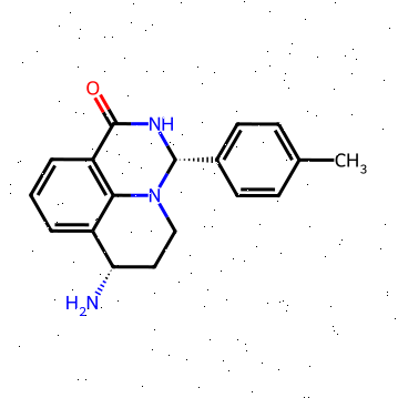 Cc1ccc([C@H]2NC(=O)c3cccc4c3N2CC[C@@H]4N)cc1